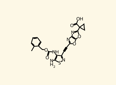 Cc1ccccc1COC(=O)Nc1c(C#Cc2nc3nc(C4(C(=O)O)CC4)oc3o2)nsc1N